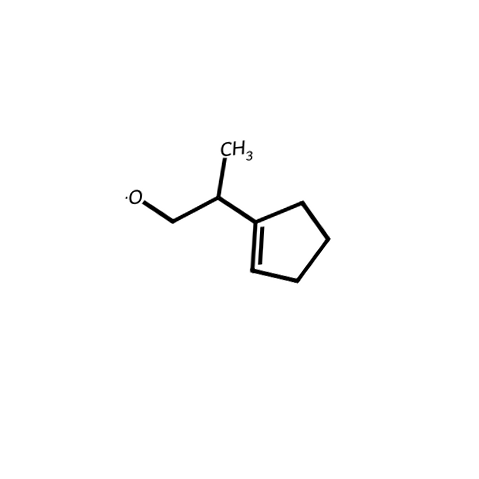 CC(C[O])C1=CCCC1